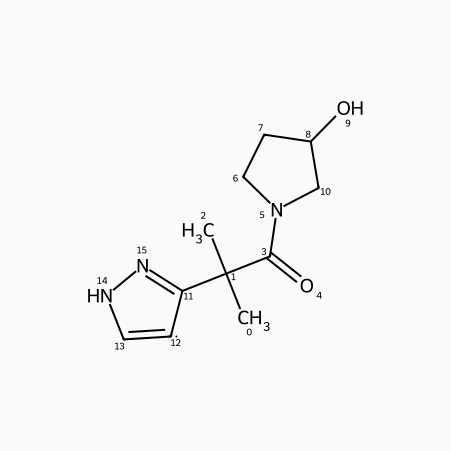 CC(C)(C(=O)N1CCC(O)C1)c1[c]c[nH]n1